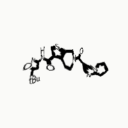 CC(C)(C)c1cc(NC(=O)c2csc3c2CCN(C(=O)c2cnc4ccccn24)C3)no1